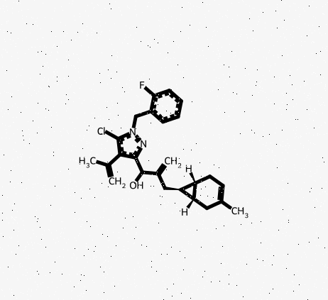 C=C(C)c1c(C(O)C(=C)C[C@H]2[C@@H]3CC=C(C)C[C@@H]32)nn(Cc2ccccc2F)c1Cl